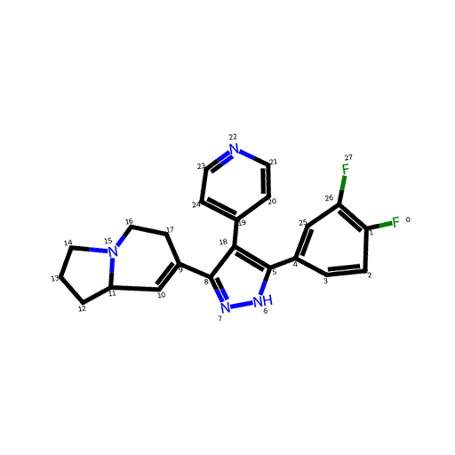 Fc1ccc(-c2[nH]nc(C3=CC4CCCN4CC3)c2-c2ccncc2)cc1F